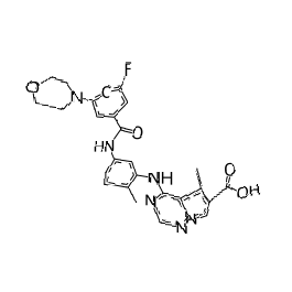 Cc1ccc(NC(=O)c2cc(F)cc(N3CCOCC3)c2)cc1Nc1ncnn2cc(C(=O)O)c(C)c12